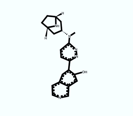 CN(c1ccc(-c2cc3ccncc3cc2O)nn1)[C@H]1C[C@H]2CC[C@@H](C1)N2